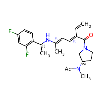 C=C/C(=C\C=C(/C)N[C@@H](C)c1ccc(F)cc1F)C(=O)N1CC[C@H](N(C)C(C)=O)C1